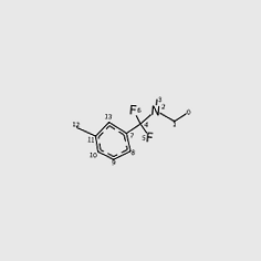 CCN(C)C(F)(F)c1cccc(C)c1